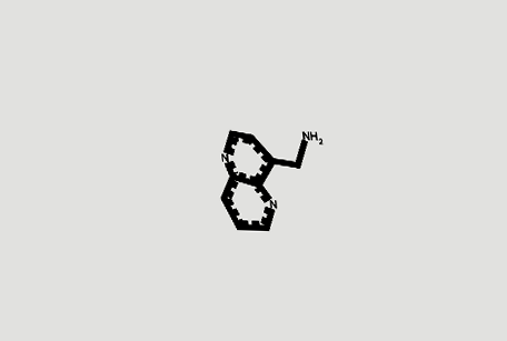 NCc1ccnc2cccnc12